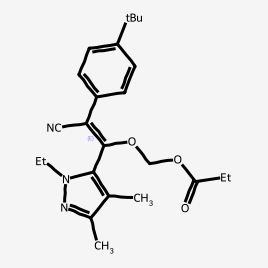 CCC(=O)OCO/C(=C(/C#N)c1ccc(C(C)(C)C)cc1)c1c(C)c(C)nn1CC